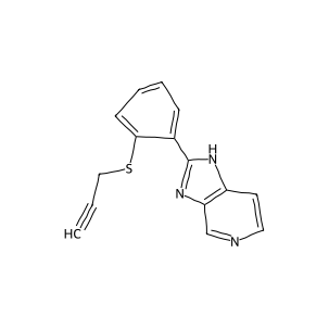 C#CCSc1ccccc1-c1nc2cnccc2[nH]1